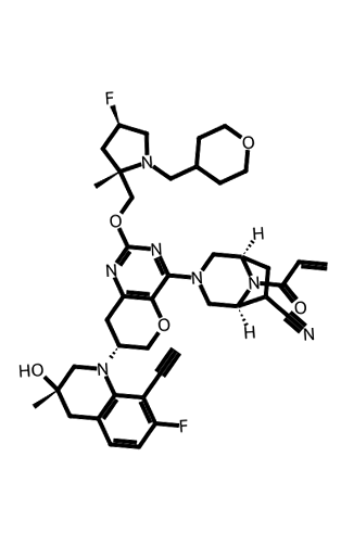 C#Cc1c(F)ccc2c1N([C@H]1COc3c(nc(OC[C@]4(C)C[C@@H](F)CN4CC4CCOCC4)nc3N3C[C@H]4CC(C#N)[C@@H](C3)N4C(=O)C=C)C1)C[C@@](C)(O)C2